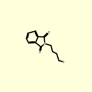 O=C1c2ccccc2C(=O)N1CCCC[S]